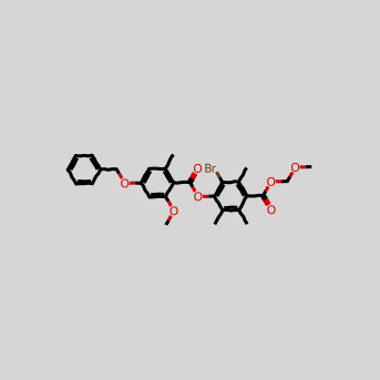 COCOC(=O)c1c(C)c(C)c(OC(=O)c2c(C)cc(OCc3ccccc3)cc2OC)c(Br)c1C